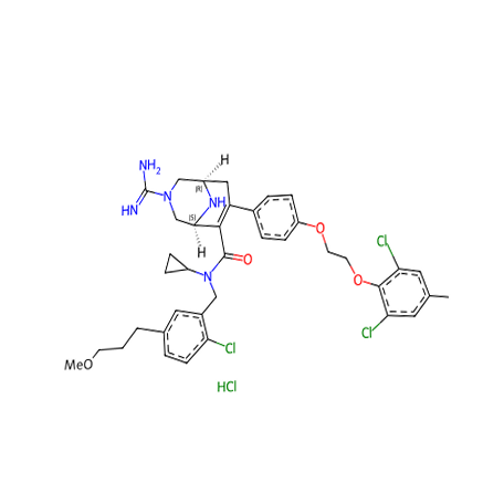 COCCCc1ccc(Cl)c(CN(C(=O)C2=C(c3ccc(OCCOc4c(Cl)cc(C)cc4Cl)cc3)C[C@@H]3CN(C(=N)N)C[C@H]2N3)C2CC2)c1.Cl